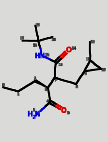 CCC[C@H](C(N)=O)C(CC1CC1C)C(=O)NC(C)(C)C